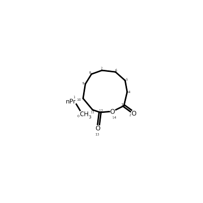 CCCC.O=C1CCCCCCCCC(=O)O1